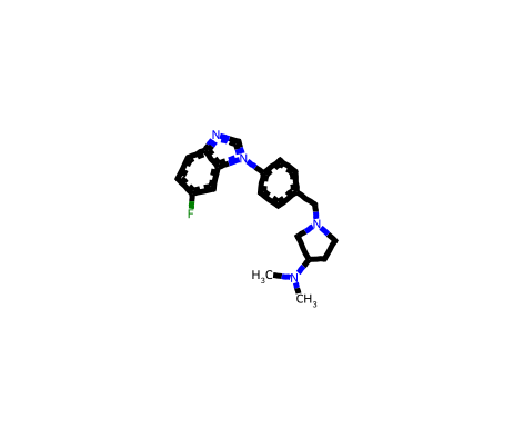 CN(C)C1CCN(Cc2ccc(-n3cnc4ccc(F)cc43)cc2)C1